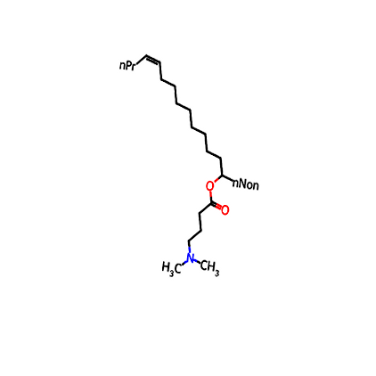 CCC/C=C\CCCCCCCCC(CCCCCCCCC)OC(=O)CCCN(C)C